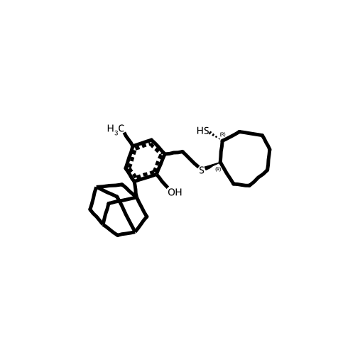 Cc1cc(CS[C@@H]2CCCCCC[C@H]2S)c(O)c(C23CC4CC(CC(C4)C2)C3)c1